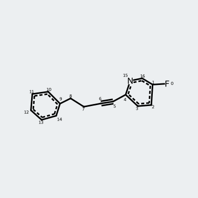 Fc1ccc(C#CCCc2ccccc2)nc1